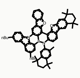 CCCCc1ccc2c(c1)c1cc(CCCC)cc3c1n2-c1cc2c(oc4ccccc42)c2c1B3N(c1cc3c(cc1C)C(C)(C)CCC3(C)C)c1ccc3c(oc4cc5c(cc43)C(C)(C)CCC5(C)C)c1-2